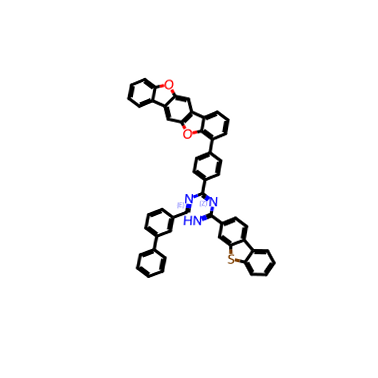 N=C(/N=C(\N=C\c1cccc(-c2ccccc2)c1)c1ccc(-c2cccc3c2oc2cc4c(cc23)oc2ccccc24)cc1)c1ccc2c(c1)sc1ccccc12